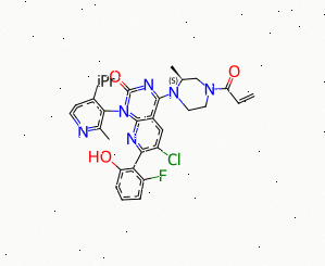 C=CC(=O)N1CCN(c2nc(=O)n(-c3c(C(C)C)ccnc3C)c3nc(-c4c(O)cccc4F)c(Cl)cc23)[C@@H](C)C1